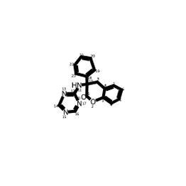 O=C1Oc2ccccc2CC1(Nc1ncncn1)c1ccccc1